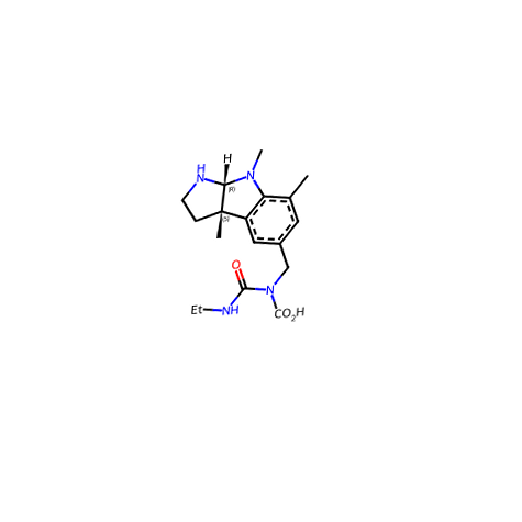 CCNC(=O)N(Cc1cc(C)c2c(c1)[C@]1(C)CCN[C@@H]1N2C)C(=O)O